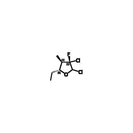 CC[C@H]1OC(Cl)[C@@](F)(Cl)[C@@H]1C